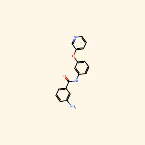 Nc1cccc(C(=O)Nc2cccc(Oc3cccnc3)c2)c1